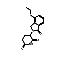 CCSc1cccc2c1CN(C1CCC(=O)NC1=O)C2=O